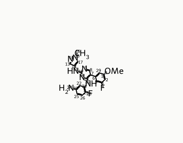 COc1cc(F)cc(-c2cnc(Nc3cnn(C)c3)nc2Nc2cc(N)ccc2F)c1